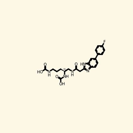 O=C(O)NCCC[C@@H](CNC(=O)Cc1nc2ccc(-c3ccc(F)cc3)cc2[nH]1)NC(=O)O